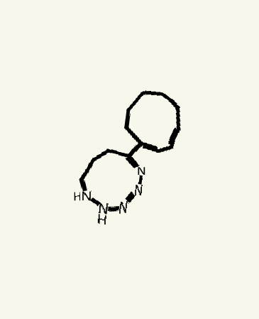 C1=CCCCCCC(C2=NN=NNNCCC2)=C1